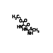 CCOC(=O)C(=N)C(=O)NC(=N)SC